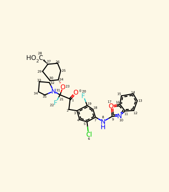 O=C(Cc1cc(Cl)c(Nc2nc3ccccc3o2)cc1F)C(F)(O[C@H]1CC[C@H](C(=O)O)CC1)N1CCCC1